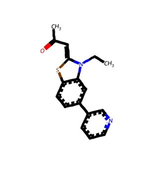 CCN1/C(=C/C(C)=O)Sc2ccc(-c3cccnc3)cc21